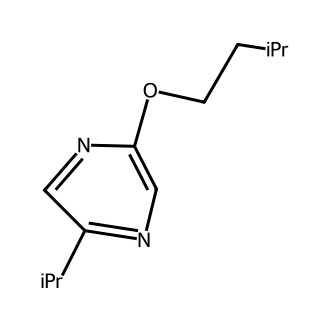 CC(C)CCOc1cnc(C(C)C)cn1